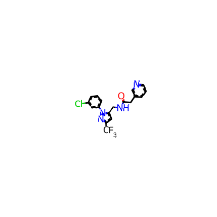 O=C(Cc1cccnc1)NCc1cc(C(F)(F)F)nn1-c1cccc(Cl)c1